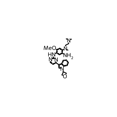 COc1cc(N(C)CCN(C)C)c(N)cc1Nc1nccc(-c2cn(C3COC3)c3ccccc23)n1